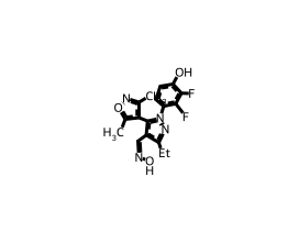 CCc1nn(-c2ccc(O)c(F)c2F)c(-c2c(C)noc2C)c1/C=N\O